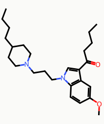 CCCCC(=O)c1cn(CCCN2CCC(CCCC)CC2)c2ccc(OC)cc12